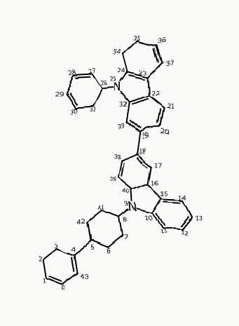 C1=CCCC(C2CCC(N3c4ccccc4C4C=C(c5ccc6c7c(n(C8C=CC=CC8)c6c5)CCC=C7)C=CC43)CC2)=C1